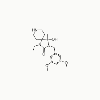 CCN1C(=O)N(Cc2cc(OC)cc(OC)c2)C(C)(O)C12CCNCC2